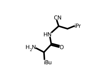 CCC(C)C(N)C(=O)NC(C#N)CC(C)C